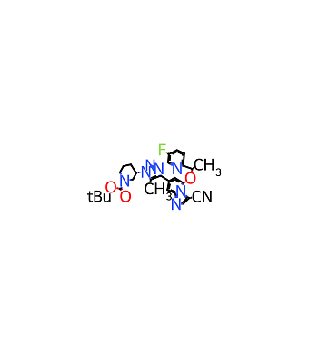 Cc1c(-c2cc(O[C@H](C)c3ccc(F)cn3)n3c(C#N)cnc3c2)nnn1[C@H]1CCCN(C(=O)OC(C)(C)C)C1